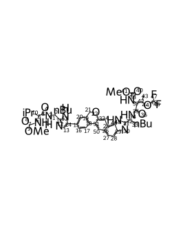 CCCC[C@H](NC(=O)[C@@H](NC(=O)OC)C(C)C)c1ncc(-c2ccc3c(c2)COc2cc4c(ccc5nc([C@H](CCCC)NC(=O)[C@@H](NC(=O)OC)[C@@H](C)OC(F)F)[nH]c54)cc2-3)[nH]1